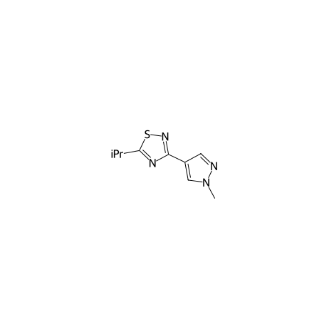 CC(C)c1nc(-c2cnn(C)c2)ns1